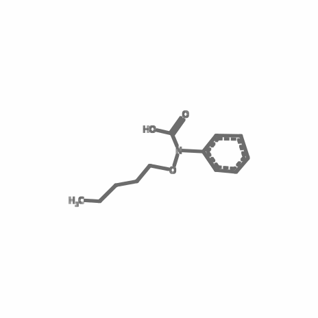 CCCCCON(C(=O)O)c1ccccc1